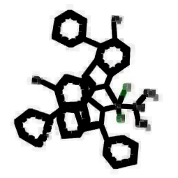 CC(C)c1ccc2c(c1-c1ccccc1)C=C(c1ccccc1)[CH]2[Zr]([Cl])([Cl])([CH]1C(c2ccccc2)=Cc2c1ccc(C(C)C)c2-c1ccccc1)[SiH](C)C